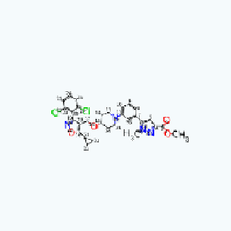 COC(=O)c1cc(-c2cccc(N3CCC(OCc4c(-c5c(Cl)cccc5Cl)noc4C4CC4)CC3)c2)n(C)n1